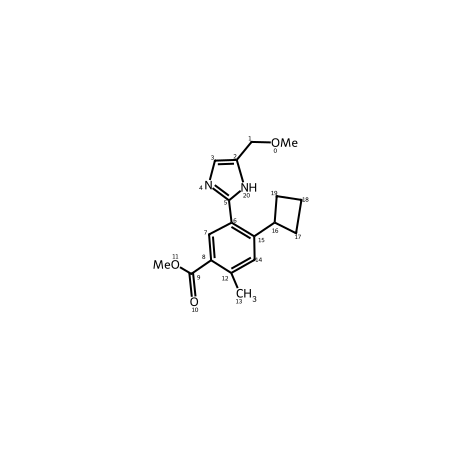 COCc1cnc(-c2cc(C(=O)OC)c(C)cc2C2CCC2)[nH]1